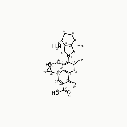 COc1c(N2C[C@@H]3CCCC[C@]3(N)C2)c(F)cc2c(=O)c(C(=O)O)cn(C3CC3)c12